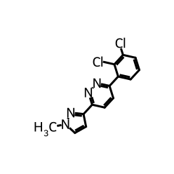 Cn1ccc(-c2ccc(-c3cccc(Cl)c3Cl)nn2)n1